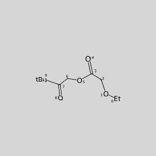 CCOCC(=O)OCC(=O)C(C)(C)C